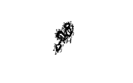 c1ccc(CNCC[C@]2(c3ccccn3)CCOC3(CCCC3)C2)cc1